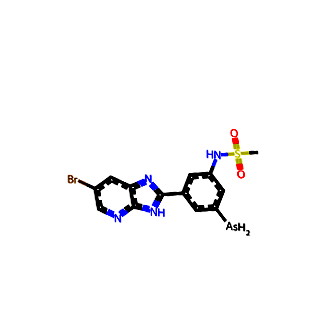 CS(=O)(=O)Nc1cc([AsH2])cc(-c2nc3cc(Br)cnc3[nH]2)c1